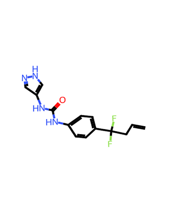 C=CCC(F)(F)c1ccc(NC(=O)Nc2cn[nH]c2)cc1